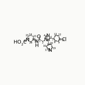 O=C(Cn1cnc(-c2ccc(Cl)cc2)c1-c1ccncc1)N[C@H]1CCCN(C(=O)O)C1